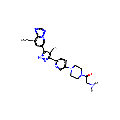 CCN(CC)CC(=O)N1CCN(c2ccc(-c3n[nH]c(-c4cc(OC)c5ncnn5c4)c3C(C)C)nc2)CC1